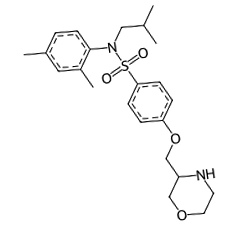 Cc1ccc(N(CC(C)C)S(=O)(=O)c2ccc(OCC3COCCN3)cc2)c(C)c1